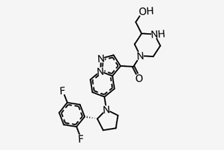 O=C(c1cnn2ccc(N3CCC[C@@H]3c3cc(F)ccc3F)cc12)N1CCNC(CO)C1